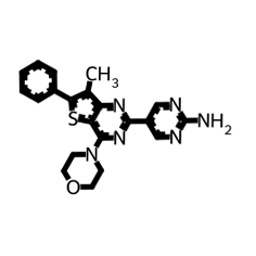 Cc1c(-c2ccccc2)sc2c(N3CCOCC3)nc(-c3cnc(N)nc3)nc12